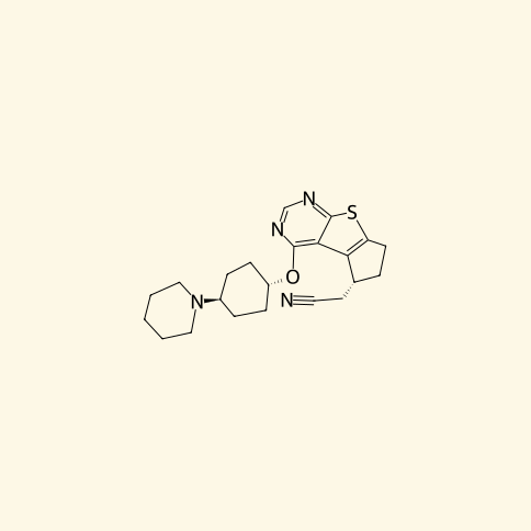 N#CC[C@H]1CCc2sc3ncnc(O[C@H]4CC[C@H](N5CCCCC5)CC4)c3c21